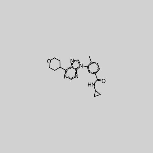 Cc1ccc(C(=O)NC2CC2)cc1-n1cnc2c(C3CCOCC3)ncnc21